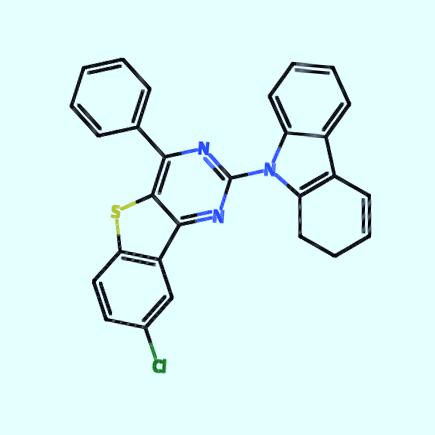 Clc1ccc2sc3c(-c4ccccc4)nc(-n4c5c(c6ccccc64)C=CCC5)nc3c2c1